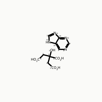 O=C(O)CC(O)(CC(=O)O)C(=O)O.c1ncc2[nH]cnc2n1